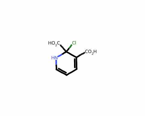 O=C(O)C1=CC=CNC1(Cl)C(=O)O